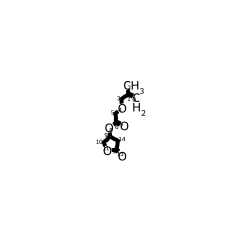 C=C(C)COCC(=O)OC1COC(=O)C1